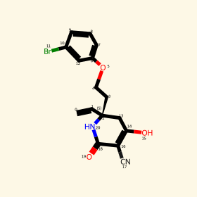 C=C[C@]1(CCOc2cccc(Br)c2)CC(O)=C(C#N)C(=O)N1